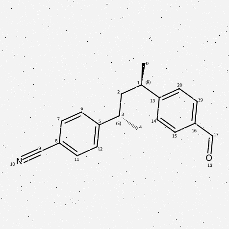 C[C@H](C[C@H](C)c1ccc(C#N)cc1)c1ccc(C=O)cc1